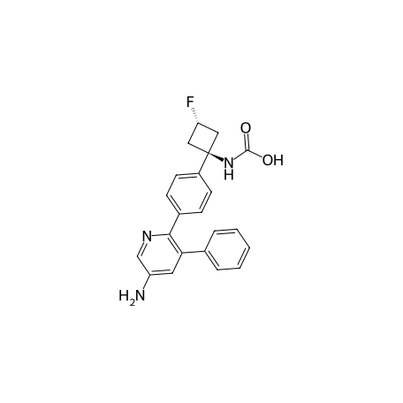 Nc1cnc(-c2ccc([C@]3(NC(=O)O)C[C@H](F)C3)cc2)c(-c2ccccc2)c1